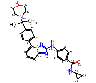 CC(C)(c1ccc(-c2cccc3nc(Nc4ccc(C(=O)NC5CC5)cc4)nn23)cc1)N1CCOCC1